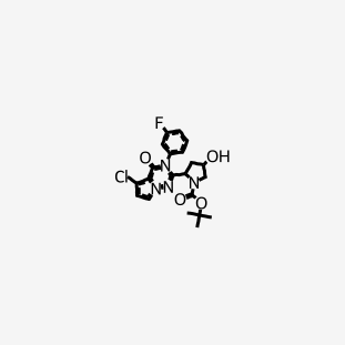 CC(C)(C)OC(=O)N1CC(O)CC1c1nn2ccc(Cl)c2c(=O)n1-c1cccc(F)c1